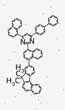 CC1(C)c2cc(-c3ccc(-c4nc(-c5ccc(-c6ccccc6)cc5)cc(-c5cccc6ccccc56)n4)c4ccccc34)ccc2-c2c1ccc1ccccc21